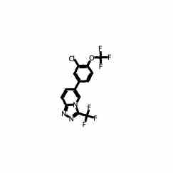 FC(F)(F)Oc1ccc(-c2ccc3nnc(C(F)(F)F)n3c2)cc1Cl